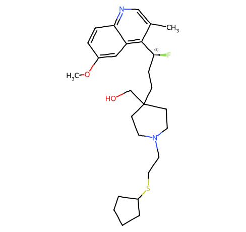 COc1ccc2ncc(C)c([C@@H](F)CCC3(CO)CCN(CCSC4CCCC4)CC3)c2c1